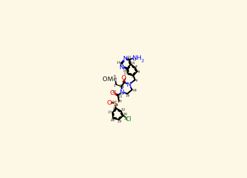 COC[C@H]1C(=O)N(Cc2ccc3c(N)ncnc3c2)CCN1C(=O)C[S+]([O-])c1cccc(Cl)c1